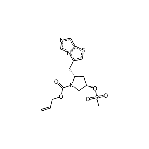 C=CCOC(=O)N1C[C@H](OS(C)(=O)=O)C[C@H]1Cc1csc2cncn12